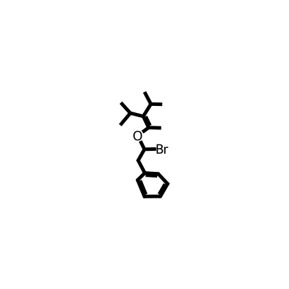 CC(OC(Br)Cc1ccccc1)=C(C(C)C)C(C)C